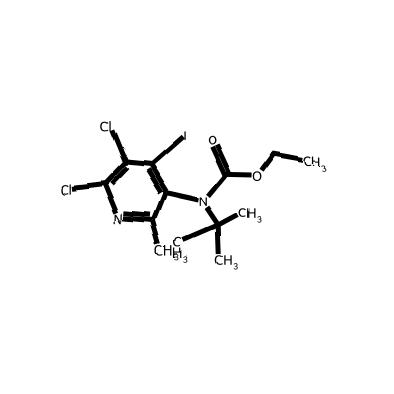 CCOC(=O)N(c1c(C)nc(Cl)c(Cl)c1I)C(C)(C)C